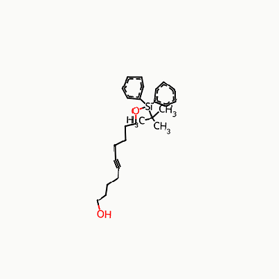 CC(C)(C)[Si](OCCCCC#CCCCCO)(c1ccccc1)c1ccccc1